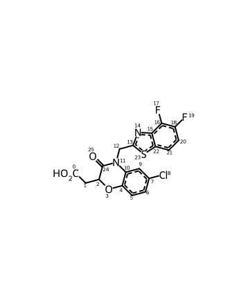 O=C(O)CC1Oc2ccc(Cl)cc2N(Cc2nc3c(F)c(F)ccc3s2)C1=O